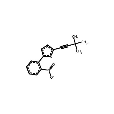 CC(C)(C)C#Cc1ccc(-c2ccccc2[N+](=O)[O-])s1